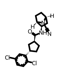 N#CN1[C@H]2CC[C@@H]1[C@H](NC(=O)[C@H]1CC[C@H](c3cc(Cl)ccc3Cl)C1)C2